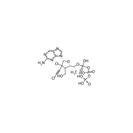 C[C@@H](OP(=O)(O)OP(=O)(O)OP(=O)(O)O)[C@H]1O[C@@H](n2cnc3cnc(N)nc32)C(Cl)(C#CCl)C1CO